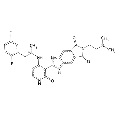 C[C@@H](Cc1cc(F)ccc1F)Nc1cc[nH]c(=O)c1-c1nc2cc3c(cc2[nH]1)C(=O)N(CCN(C)C)C3=O